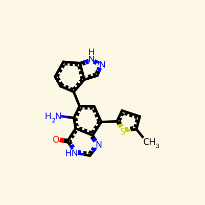 Cc1ccc(-c2cc(-c3cccc4[nH]ncc34)c(N)c3c(=O)[nH]cnc23)s1